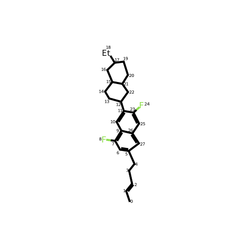 CC=CCCc1cc(F)c2cc(C3CCC4CC(CC)CCC4C3)c(F)cc2c1